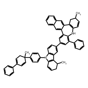 CC1C=CC2=C(C1)c1cc3ccccc3cc1-c1cc(-c3ccc4c(c3)c3c(n4-c4ccc(C5(C)C=CC(c6ccccc6)=CC5)cc4)C=CCC3C)cc(-c3ccccc3)c1N2